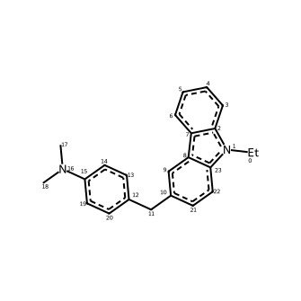 CCn1c2ccccc2c2cc(Cc3ccc(N(C)C)cc3)ccc21